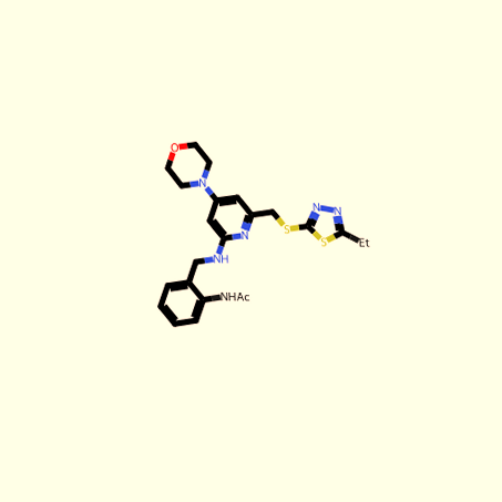 CCc1nnc(SCc2cc(N3CCOCC3)cc(NCc3ccccc3NC(C)=O)n2)s1